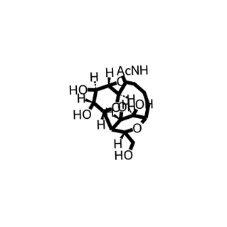 CC(=O)NC[C@H]1O[C@@H]2C3[C@@H](CO)OC(CCCO[C@H]1[C@H](O)[C@H]2O)[C@H](O)[C@H]3O